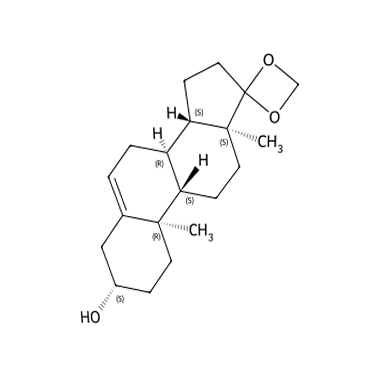 C[C@]12CC[C@H](O)CC1=CC[C@@H]1[C@@H]2CC[C@@]2(C)[C@H]1CCC21OCO1